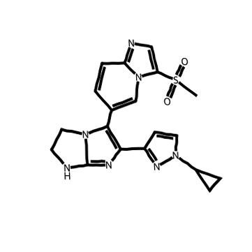 CS(=O)(=O)c1cnc2ccc(-c3c(-c4ccn(C5CC5)n4)nc4n3CCN4)cn12